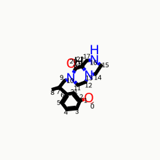 COc1cccc(C(C)CN2CCN3CCNC[C@@H]3C2=O)c1